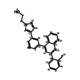 OCCn1cc(-c2cncc(-c3cc(-c4ccccc4F)nc4nccnc34)c2)cn1